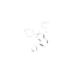 c1cc(-c2nccc3c(N[C@@H]4CCNC4)nc(N4CCOCC4)nc23)[nH]n1